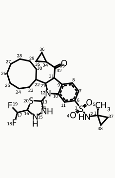 CC1(NS(=O)(=O)c2ccc3c(c2)N(C2NNC(C(F)F)S2)C(C2CCCCCCCC2)C3C(=O)C2CC2)CC1